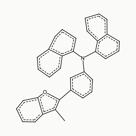 Cc1c(-c2cccc(N(c3cccc4ccccc34)c3cccc4ccccc34)c2)oc2ccccc12